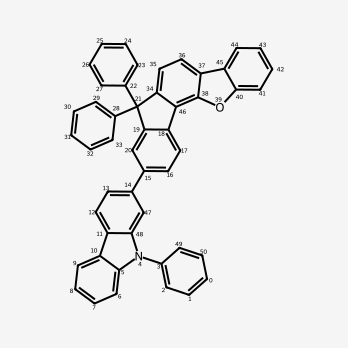 c1ccc(-n2c3ccccc3c3ccc(-c4ccc5c(c4)C(c4ccccc4)(c4ccccc4)c4ccc6c(oc7ccccc76)c4-5)cc32)cc1